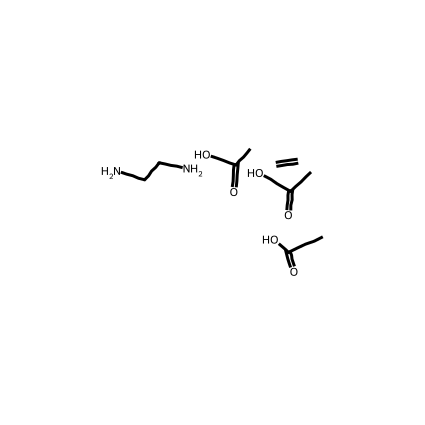 C=C.CC(=O)O.CC(=O)O.CC(=O)O.NCCN